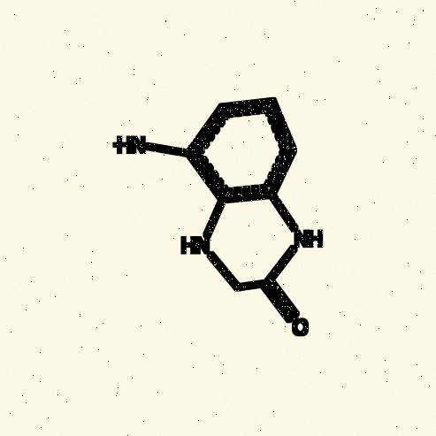 [NH]c1cccc2c1NCC(=O)N2